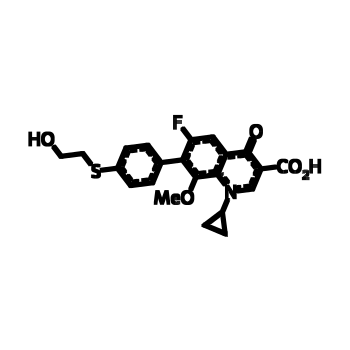 COc1c(-c2ccc(SCCO)cc2)c(F)cc2c(=O)c(C(=O)O)cn(C3CC3)c12